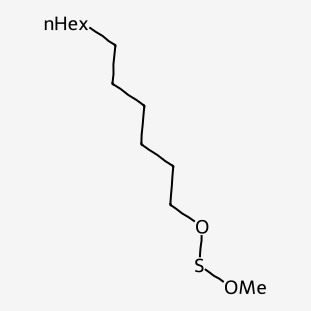 CCCCCCCCCCCCOSOC